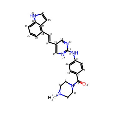 CN1CCN(C(=O)c2ccc(Nc3ncc(/C=C/c4cccc5[nH]ccc45)cn3)cc2)CC1